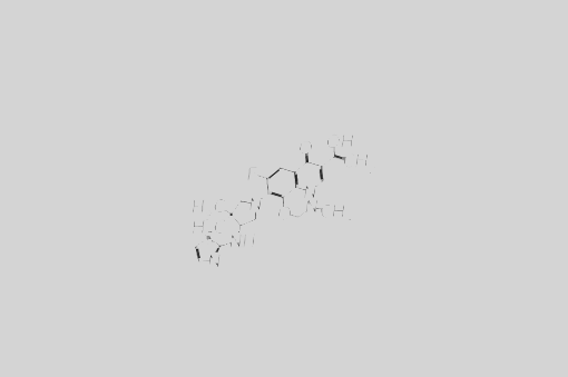 C=C(O)c1cn2c3c(c(N4C[C@@H](Nc5nccs5)C(C)(C)C4)c(F)cc3c1=O)OCN2C